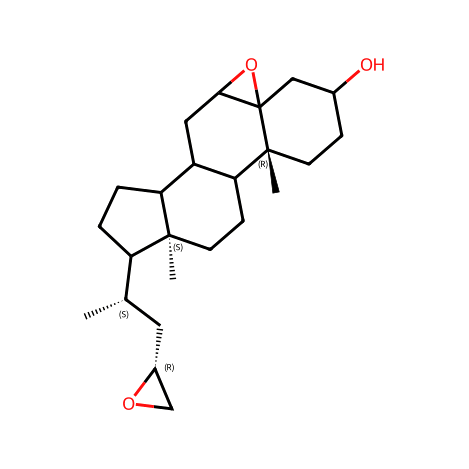 C[C@@H](C[C@@H]1CO1)C1CCC2C3CC4OC45CC(O)CC[C@]5(C)C3CC[C@]21C